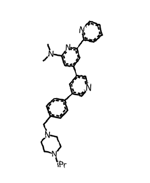 CC(C)N1CCN(Cc2ccc(-c3cncc(-c4cc(-c5ccccn5)nc(N(C)C)c4)c3)cc2)CC1